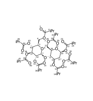 CC(C)C(=O)OC[C@H]1O[C@@H](O[C@H]2[C@H](OC(=O)C(C)C)[C@@H](OC(=O)C(C)C)[C@H](OC(=O)C(C)C)O[C@@H]2COC(=O)C(C)C)[C@H](OC(=O)C(C)C)[C@@H](OC(=O)C(C)C)[C@@H]1OC(=O)C(C)C